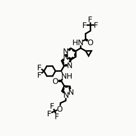 O=C(CCC(F)(F)F)NC(c1cnn2cc([C@@H](NC(=O)c3cnn(CCOC(F)(F)F)c3)C3CCC(F)(F)CC3)nc2c1)C1CC1